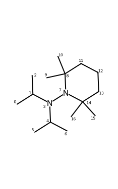 CC(C)N(C(C)C)N1C(C)(C)CCCC1(C)C